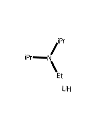 CCN(C(C)C)C(C)C.[LiH]